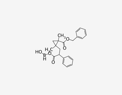 CC1(CC(C(=O)OBO)c2ccccc2)CC1(C)C(=O)OCc1ccccc1